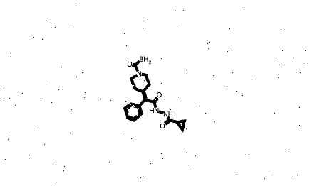 BC(=O)N1CCC(=C(C(=O)NNC(=O)C2CC2)c2ccccc2)CC1